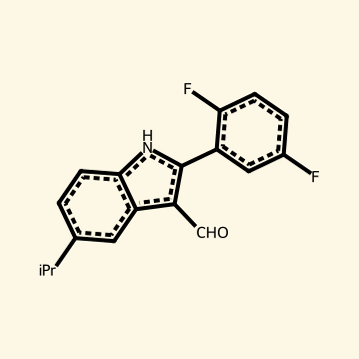 CC(C)c1ccc2[nH]c(-c3cc(F)ccc3F)c(C=O)c2c1